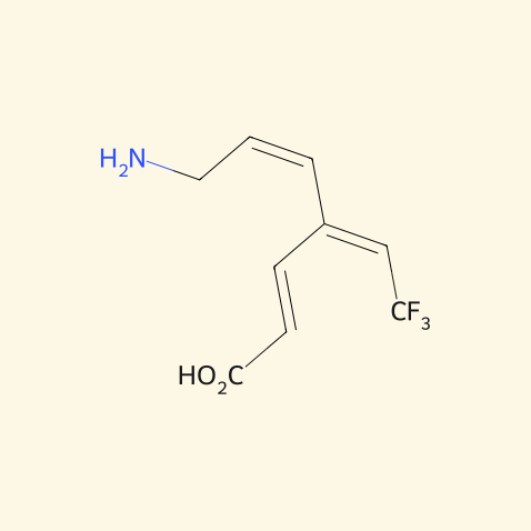 NC/C=C\C(=CC(F)(F)F)/C=C/C(=O)O